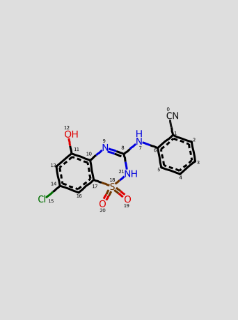 N#Cc1ccccc1NC1=Nc2c(O)cc(Cl)cc2S(=O)(=O)N1